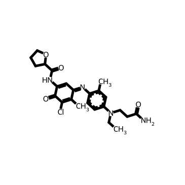 CCN(CCC(N)=O)c1ccc(N=C2C=C(NC(=O)C3CCCO3)C(=O)C(Cl)=C2C)c(C)c1